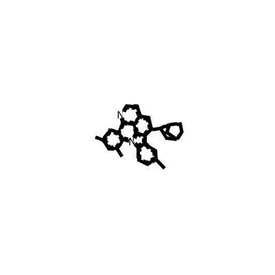 Cc1ccc2c(c1)c1c(C3CC4CCC3C4)cc3ccnc4c5cc(C)cc(C)c5n2c1c34